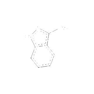 COc1n[nH]c2ccc[c]c12